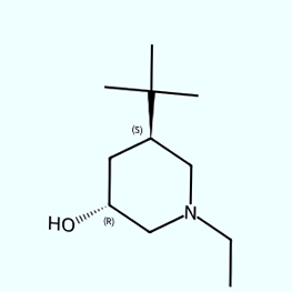 CCN1C[C@H](O)C[C@@H](C(C)(C)C)C1